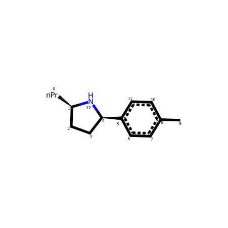 CCC[C@@H]1CC[C@H](c2ccc(C)cc2)N1